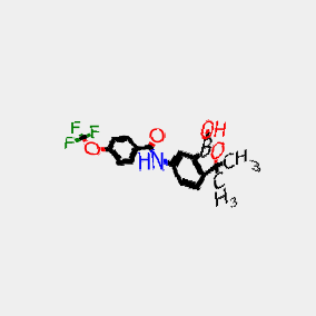 CC1(C)OB(O)c2cc(NC(=O)c3ccc(OC(F)(F)F)cc3)ccc21